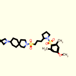 COc1cc(C)c(S(=O)(=O)N2CCCC2CCCS(=O)(=O)N2CCC3(CCC(N4CC(F)(F)C4)CC3)CC2)c(C)c1